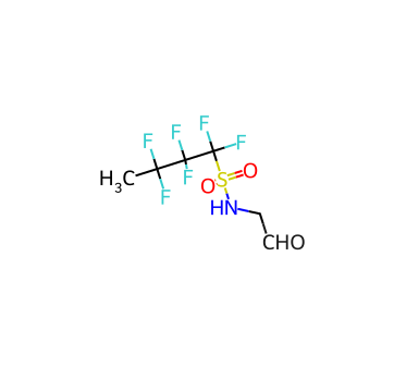 CC(F)(F)C(F)(F)C(F)(F)S(=O)(=O)NCC=O